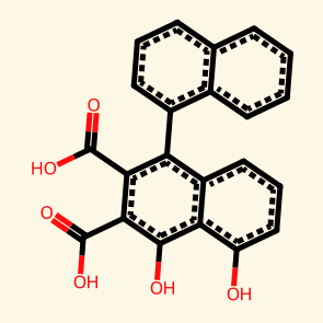 O=C(O)c1c(C(=O)O)c(O)c2c(O)cccc2c1-c1cccc2ccccc12